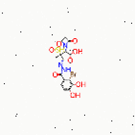 C[C@@H]1CC(=O)N1[C@@H](C(=O)O)[C@](C)(/C=N/NC(=O)c1ccc(O)c(O)c1Br)[SH](=O)=O